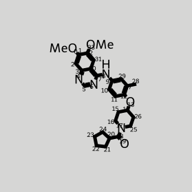 COc1cc2ncnc(Nc3ccc(OC4CCN(C(=O)C5CCCC5)CC4)c(C)c3)c2cc1OC